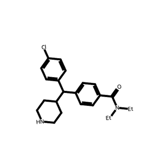 CCN(CC)C(=O)c1ccc(C(c2ccc(Cl)cc2)C2CCNCC2)cc1